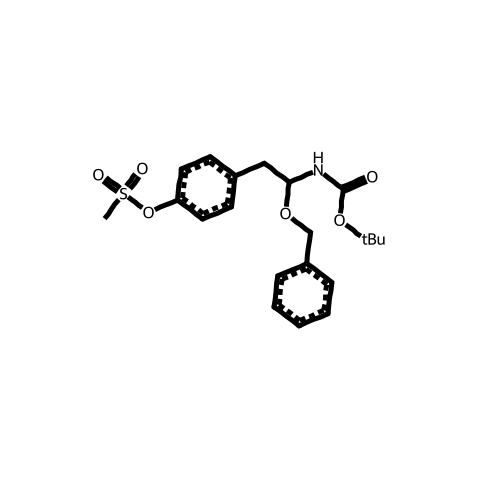 CC(C)(C)OC(=O)NC(Cc1ccc(OS(C)(=O)=O)cc1)OCc1ccccc1